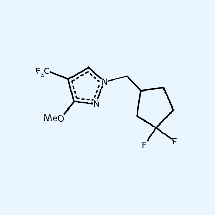 COc1nn(CC2CCC(F)(F)C2)cc1C(F)(F)F